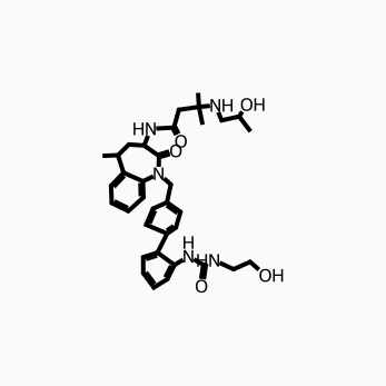 CC(O)CNC(C)(C)CC(=O)NC1CC(C)c2ccccc2N(Cc2ccc(-c3ccccc3NC(=O)NCCO)cc2)C1=O